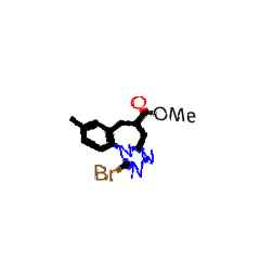 COC(=O)C1Cc2cc(C)ccc2-n2c(Br)nnc2C1